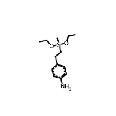 CCO[Si](C)(CCc1ccc(N)cc1)OCC